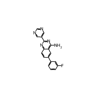 Nc1nc(-c2cncnc2)nc2ccc(-c3cccc(F)c3)cc12